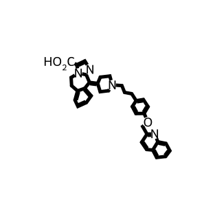 O=C(O)c1cnc2n1CCc1ccccc1C2=C1CCN(CCCc2ccc(OCc3ccc4ccccc4n3)cc2)CC1